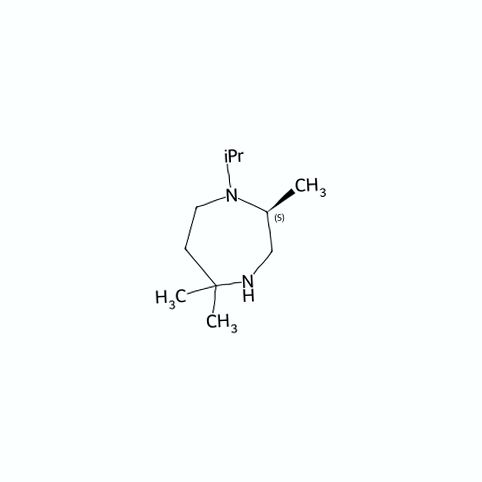 CC(C)N1CCC(C)(C)NC[C@@H]1C